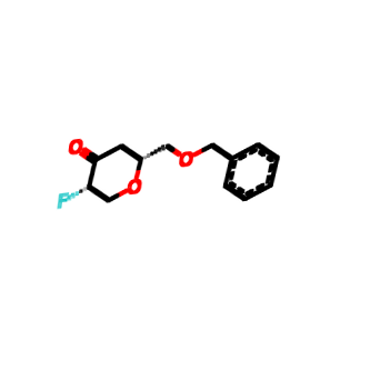 O=C1C[C@H](COCc2ccccc2)OC[C@@H]1F